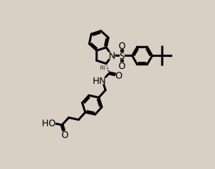 CC(C)(C)c1ccc(S(=O)(=O)N2c3ccccc3C[C@H]2C(=O)NCc2ccc(CCC(=O)O)cc2)cc1